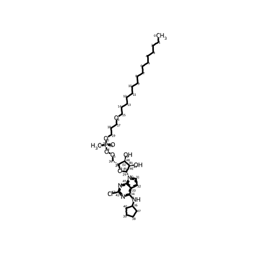 CCCCCCCCCCCCCCCCOCCCOP(C)(=O)OOC[C@H]1O[C@@H](n2ccc3c(NC4CCCC4)nc(Cl)nc32)[C@H](O)[C@@H]1O